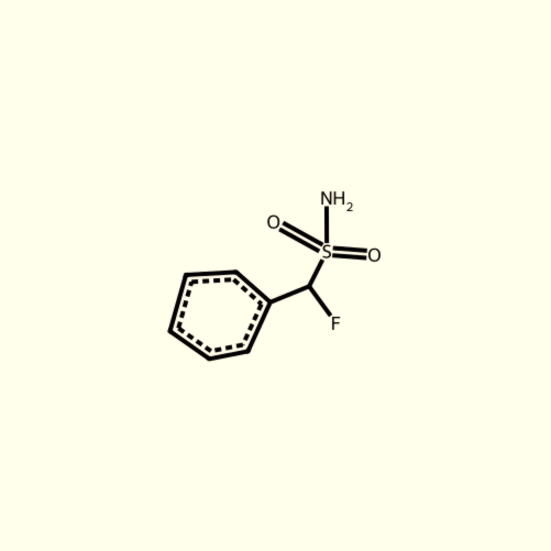 NS(=O)(=O)C(F)c1ccccc1